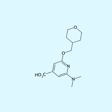 CN(C)c1cc(C(=O)O)cc(OCC2CCOCC2)n1